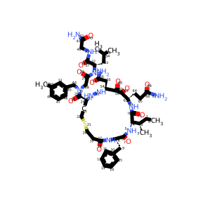 CC[C@H](C)[C@@H]1NC(=O)[C@H](Cc2ccccc2)NC(=O)CCSCC[C@@H](C(=O)N(CC(=O)N[C@@H](CC(C)C)C(=O)NCC(N)=O)Cc2cccc(C)c2)NN[C@@H](CC(N)=O)C(=O)C(=O)[C@H](CCC(N)=O)NC1=O